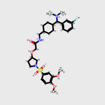 COc1ccc(S(=O)(=O)N2CCC(OCC(=O)NCC3CCC(C(c4cccc(F)c4)N(C)C)CC3)C2)cc1OC